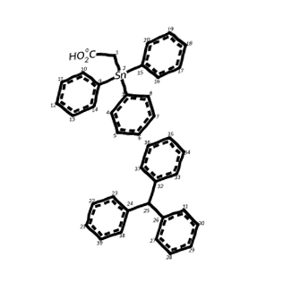 O=C(O)[CH2][Sn]([c]1ccccc1)([c]1ccccc1)[c]1ccccc1.c1ccc([C](c2ccccc2)c2ccccc2)cc1